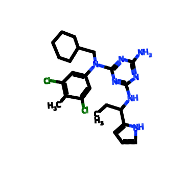 CCC(Nc1nc(N)nc(N(CC2CCCCC2)c2cc(Cl)c(C)c(Cl)c2)n1)c1ccc[nH]1